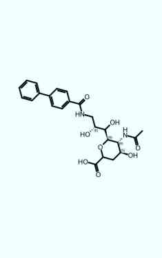 CC(=O)N[C@@H]1[C@@H](O)CC(C(=O)O)O[C@H]1C(O)[C@H](O)CNC(=O)c1ccc(-c2ccccc2)cc1